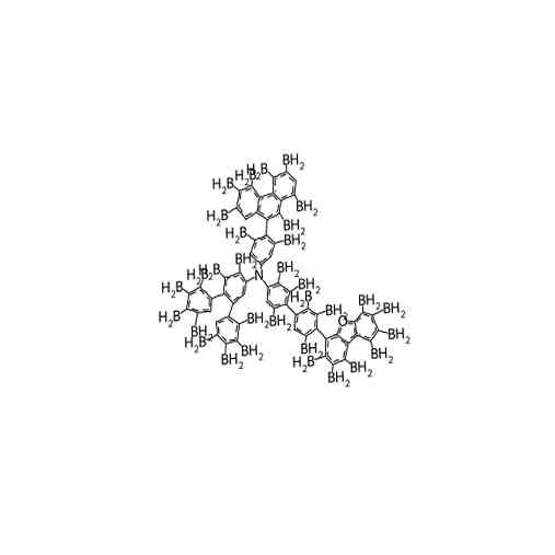 Bc1cc(-c2cc(N(c3cc(B)c(-c4c(B)c5c(B)cc(B)c(B)c5c5c(B)c(B)c(B)cc45)c(B)c3)c3cc(B)c(-c4cc(B)c(-c5c(B)c(B)c(B)c6c5oc5c(B)c(B)c(B)c(B)c56)c(B)c4B)c(B)c3B)c(B)c(B)c2-c2cc(B)c(B)c(B)c2B)c(B)c(B)c1B